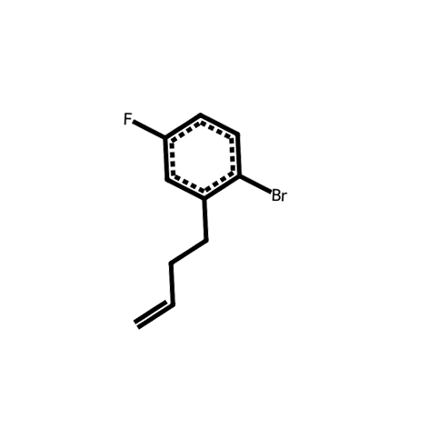 C=CCCc1cc(F)ccc1Br